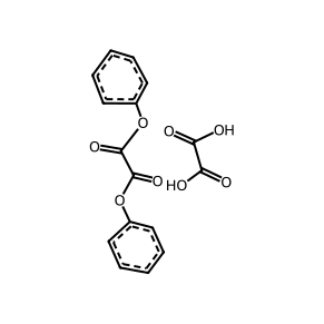 O=C(O)C(=O)O.O=C(Oc1ccccc1)C(=O)Oc1ccccc1